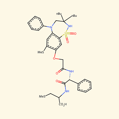 CCCCC1(CCCC)CN(c2ccccc2)c2cc(SC)c(OCC(=O)N[C@@H](C(=O)NC(CSC)C(=O)O)c3ccccc3)cc2S(=O)(=O)N1